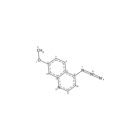 COc1ccc2c(N=[N+]=[N-])ccnc2c1